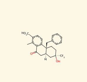 Cc1c(C(=O)O)ccc2c1C(=O)C[C@@H]1C[C@@](O)(C(F)(F)F)CC[C@@]21Cc1ccccc1